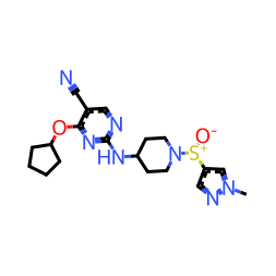 Cn1cc([S+]([O-])N2CCC(Nc3ncc(C#N)c(OC4CCCC4)n3)CC2)cn1